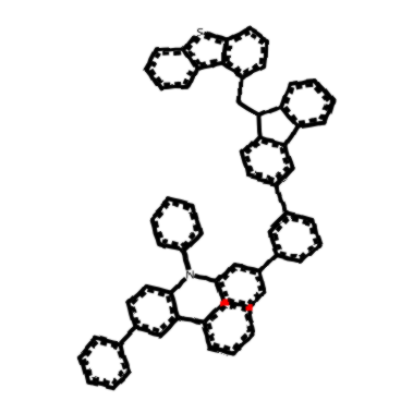 c1ccc(-c2ccc(N(c3ccccc3)c3cccc(-c4cccc(-c5ccc6c(c5)-c5ccccc5C6Cc5cccc6sc7ccccc7c56)c4)c3)c(-c3ccccc3)c2)cc1